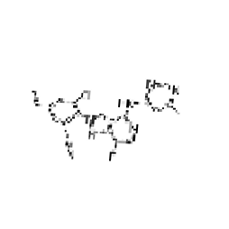 C=Cc1cc(Cl)c(-n2cc3c(Nc4cc(C)ncn4)ncc(F)c3n2)c(C#N)c1